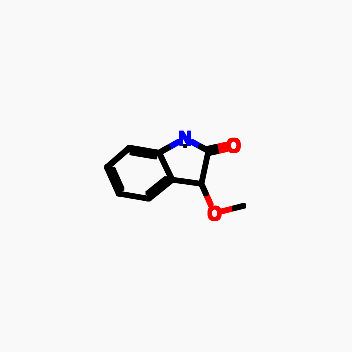 COC1C(=O)[N]c2ccccc21